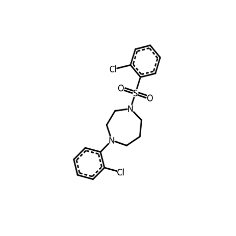 O=S(=O)(c1ccccc1Cl)N1CCCN(c2ccccc2Cl)CC1